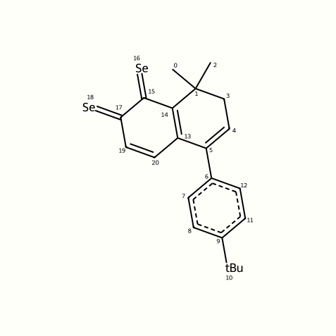 CC1(C)CC=C(c2ccc(C(C)(C)C)cc2)C2=C1C(=[Se])C(=[Se])C=C2